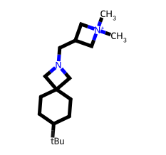 CC(C)(C)C1CCC2(CC1)CN(CC1C[N+](C)(C)C1)C2